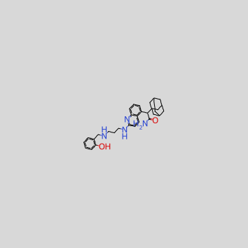 NC(=O)C(c1cccc2nc(NCCCNCc3ccccc3O)ccc12)C12CC3CC(CC(C3)C1)C2